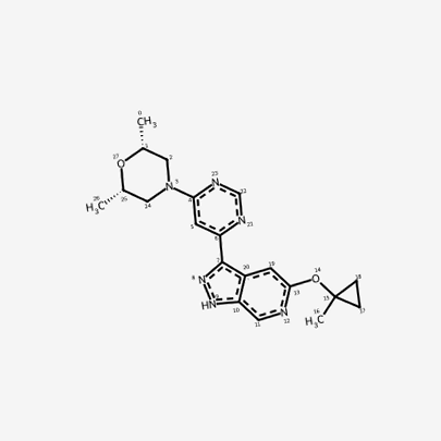 C[C@@H]1CN(c2cc(-c3n[nH]c4cnc(OC5(C)CC5)cc34)ncn2)C[C@H](C)O1